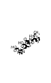 CON=C(C(=O)NC1C(=O)N2C(C(=O)O)=C(CSc3nnnn3CC(=O)O)CS[C@@H]12)C1=CSCCS1